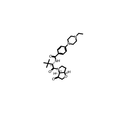 CCN1CCN(c2ccc(C(=O)N[C@H](C(=O)N3CC[C@H]4OCC(=O)[C@H]43)C(C)(C)C)cc2)CC1